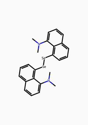 CN(C)c1cccc2cccc([Se][Se]c3cccc4cccc(N(C)C)c34)c12